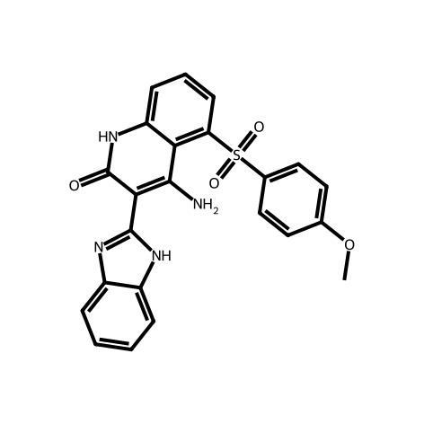 COc1ccc(S(=O)(=O)c2cccc3[nH]c(=O)c(-c4nc5ccccc5[nH]4)c(N)c23)cc1